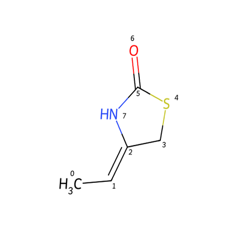 CC=C1CSC(=O)N1